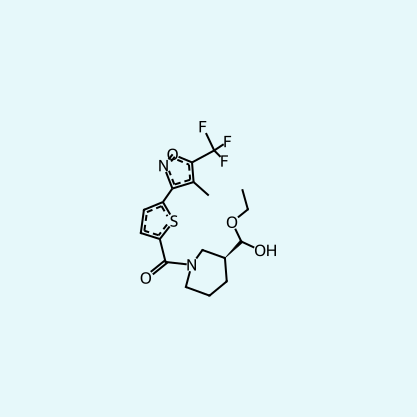 CCOC(O)[C@H]1CCCN(C(=O)c2ccc(-c3noc(C(F)(F)F)c3C)s2)C1